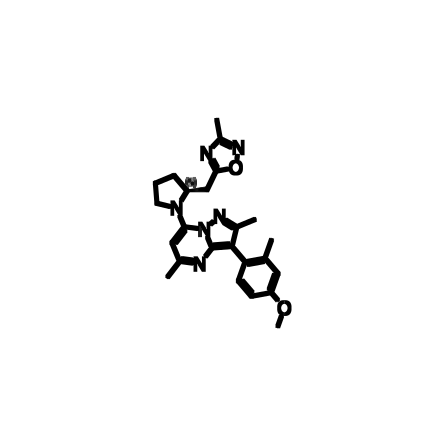 COc1ccc(-c2c(C)nn3c(N4CCC[C@H]4Cc4nc(C)no4)cc(C)nc23)c(C)c1